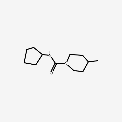 CC1CCN(C(=O)NC2CCCC2)CC1